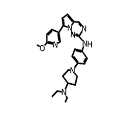 CCN(CC)C1CCN(c2ccc(Nc3ncc4ccc(-c5ccc(OC)nc5)n4n3)cc2)CC1